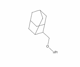 CCCOCC1C2CC3CC(C2)CC1C3